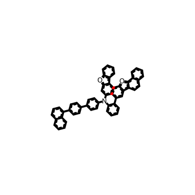 c1ccc(N(c2ccc(-c3ccc(-c4cccc5ccccc45)cc3)cc2)c2ccc3c(c2)oc2ccccc23)c(-c2ccc3oc4c5ccccc5ccc4c3c2)c1